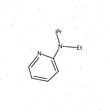 CCN(c1ccccn1)C(C)C